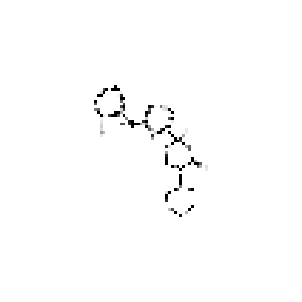 Cc1c(Nc2ccccc2F)cccc1C1(C)CCN(C2CCCCC2)C(=O)C1